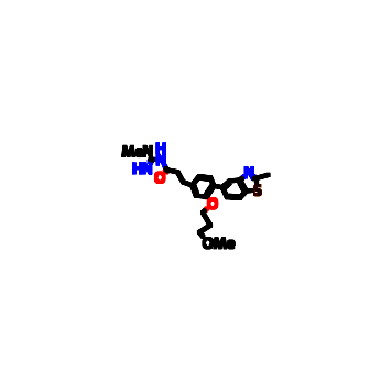 CNC(=N)NC(=O)CCc1ccc(-c2ccc3sc(C)nc3c2)c(OCCCOC)c1